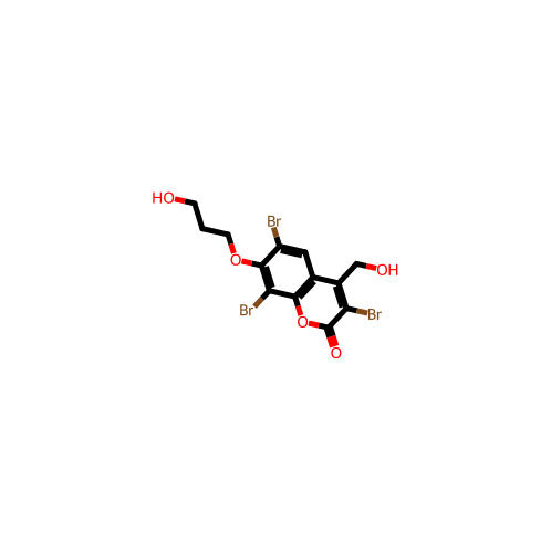 O=c1oc2c(Br)c(OCCCO)c(Br)cc2c(CO)c1Br